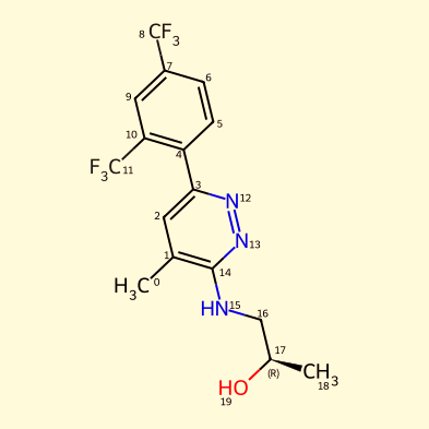 Cc1cc(-c2ccc(C(F)(F)F)cc2C(F)(F)F)nnc1NC[C@@H](C)O